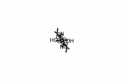 CCCCC(CC)COC(=O)C(C#N)=C1Sc2c(OCCO)c3c(c(OCCO)c2S1)SC(=C(C#N)C(=O)OCC(CC)CCCC)S3